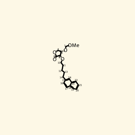 COCO[C@H]1COC(=O)[C@@H]1OCCCCCc1ccc2ccccc2c1